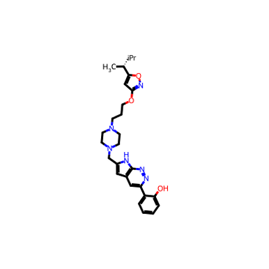 CC(C)[C@@H](C)c1cc(OCCCN2CCN(Cc3cc4cc(-c5ccccc5O)nnc4[nH]3)CC2)no1